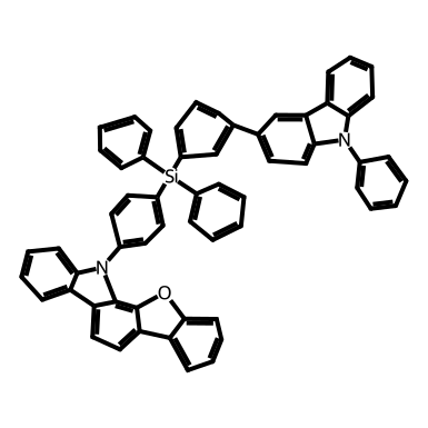 c1ccc(-n2c3ccccc3c3cc(-c4cccc([Si](c5ccccc5)(c5ccccc5)c5ccc(-n6c7ccccc7c7ccc8c9ccccc9oc8c76)cc5)c4)ccc32)cc1